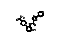 Cl.NC(=O)C1CCN(c2ccccc2NC(=O)c2csc(-c3ccncc3)n2)CC1